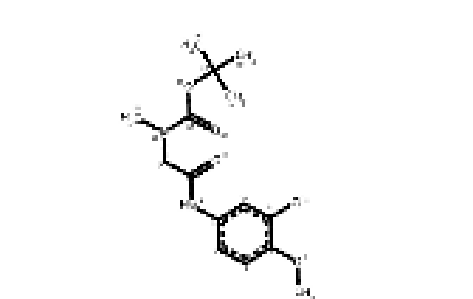 COc1ccc(NC(=O)CN(C)C(=O)OC(C)(C)C)cc1Cl